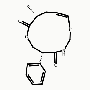 C[C@@H]1CC=CCCNC(=O)[C@H](c2ccccc2)COC1=O